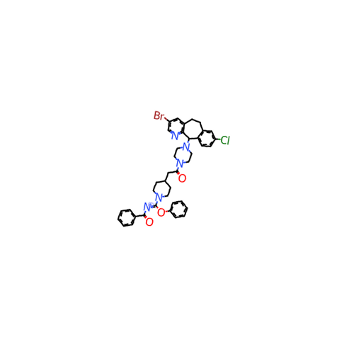 O=C(/N=C(\Oc1ccccc1)N1CCC(CC(=O)N2CCN(C3c4ccc(Cl)cc4CCc4cc(Br)cnc43)CC2)CC1)c1ccccc1